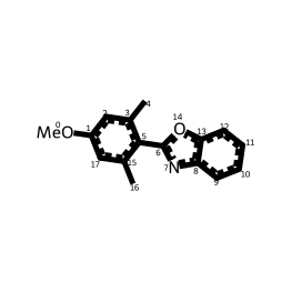 COc1cc(C)c(-c2nc3ccccc3o2)c(C)c1